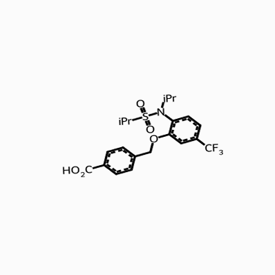 CC(C)N(c1ccc(C(F)(F)F)cc1OCc1ccc(C(=O)O)cc1)S(=O)(=O)C(C)C